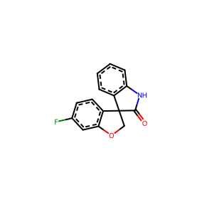 O=C1Nc2ccccc2C12COc1cc(F)ccc12